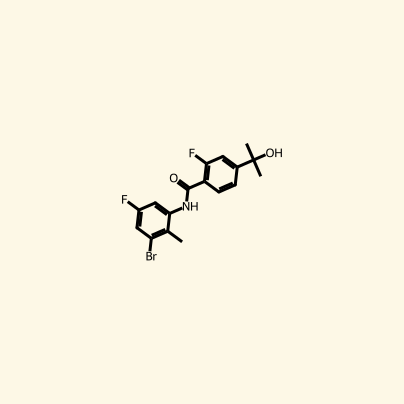 Cc1c(Br)cc(F)cc1NC(=O)c1ccc(C(C)(C)O)cc1F